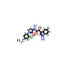 Cc1ccc(N2CCC(NC(=O)C(=O)c3c[nH]c4ccc(F)cc34)C2=O)c(Cl)c1